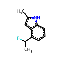 Cc1cc2c(C(C)F)cccc2[nH]1